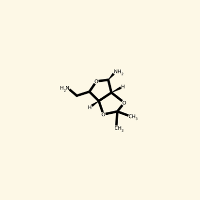 CC1(C)O[C@H]2[C@H](N)OC(CN)[C@H]2O1